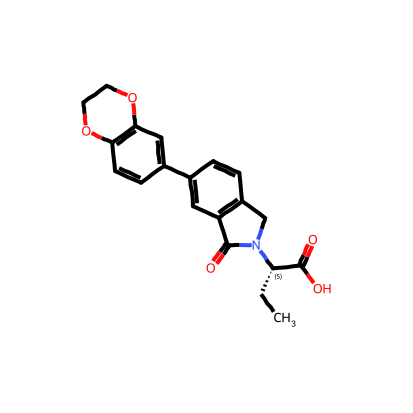 CC[C@@H](C(=O)O)N1Cc2ccc(-c3ccc4c(c3)OCCO4)cc2C1=O